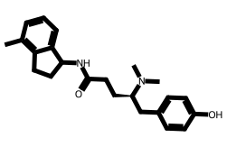 Cc1cccc2c1CCC2NC(=O)CC[C@H](Cc1ccc(O)cc1)N(C)C